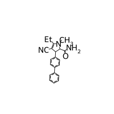 CCC1=C(C#N)C(c2ccc(-c3ccccc3)cc2)C(C(N)=O)N1C